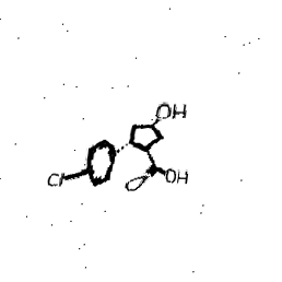 O=C(O)[C@@H]1C[C@H](O)C[C@H]1c1ccc(Cl)cc1